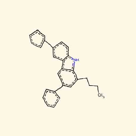 CCCCc1cc(-c2ccccc2)cc2c1[nH]c1ccc(-c3ccccc3)cc12